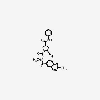 Cc1ccc2cc(C(=O)N(C)CC(=O)N3CC(C(=O)Nc4ccccc4)CC3C#N)ccc2n1